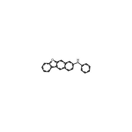 c1ccc(Nc2ccc3cc4c(cc3c2)oc2ccccc24)cc1